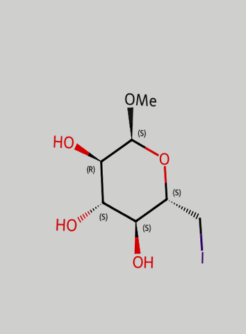 CO[C@H]1O[C@H](CI)[C@@H](O)[C@H](O)[C@H]1O